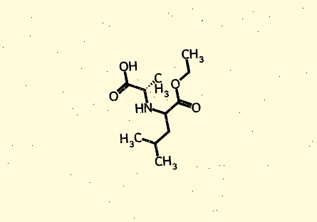 CCOC(=O)C(CC(C)C)N[C@@H](C)C(=O)O